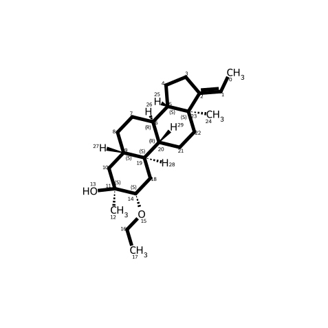 CC=C1CC[C@H]2[C@@H]3CC[C@H]4C[C@](C)(O)[C@@H](OCC)C[C@@H]4[C@H]3CC[C@]12C